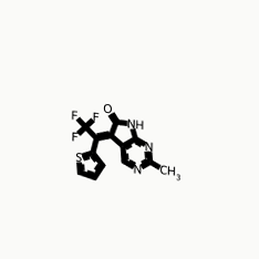 Cc1ncc2c(n1)NC(=O)C2=C(c1cccs1)C(F)(F)F